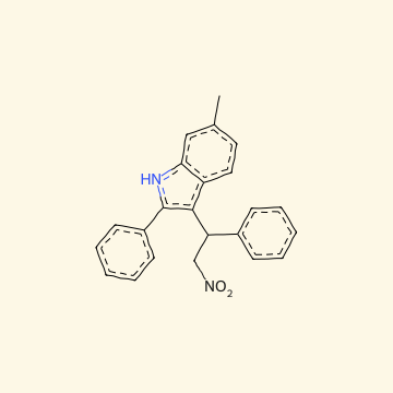 Cc1ccc2c(C(C[N+](=O)[O-])c3ccccc3)c(-c3ccccc3)[nH]c2c1